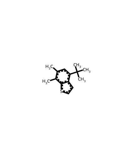 Cc1cc(C(C)(C)C)c2ccsc2c1C